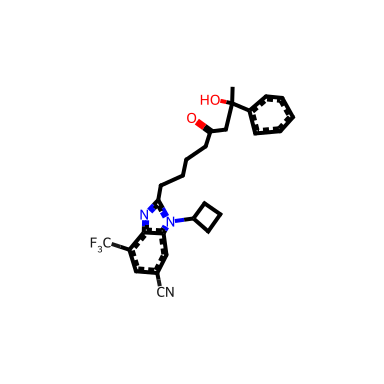 CC(O)(CC(=O)CCCCc1nc2c(C(F)(F)F)cc(C#N)cc2n1C1CCC1)c1ccccc1